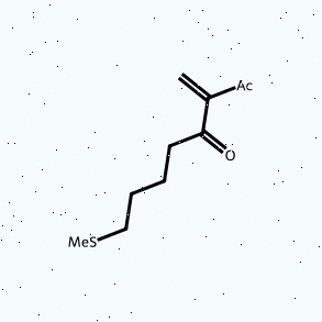 C=C(C(C)=O)C(=O)CCCCSC